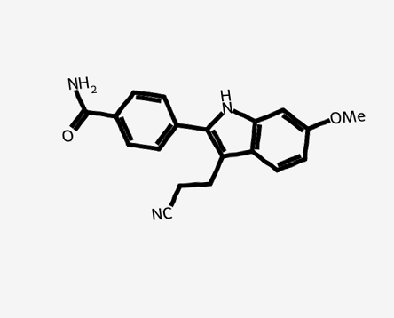 COc1ccc2c(CCC#N)c(-c3ccc(C(N)=O)cc3)[nH]c2c1